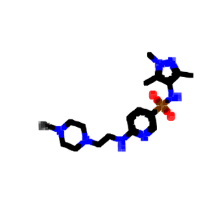 Cc1nn(C)c(C)c1NS(=O)(=O)c1ccc(NCCN2CCN(C(C)C)CC2)nc1